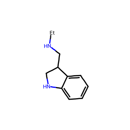 CCNCC1CNc2ccccc21